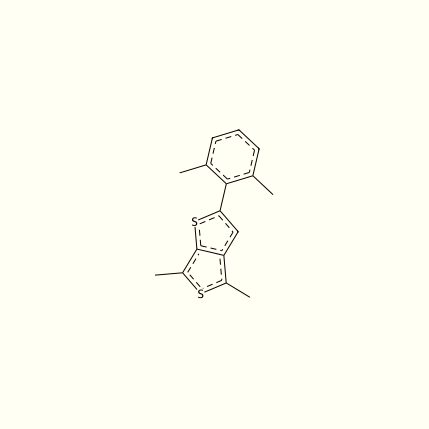 Cc1cccc(C)c1-c1cc2c(C)sc(C)c2s1